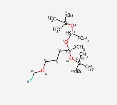 CCCC[Si](C)(C)O[SiH](C)O[Si](C)(CCCOCF)O[Si](C)(C)CCCC